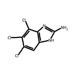 Nc1nc2c(Cl)c(Cl)c(Cl)cc2[nH]1